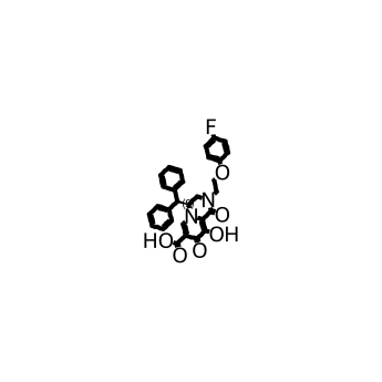 O=C(O)c1cn2c(c(O)c1=O)C(=O)N(CCOc1ccc(F)cc1)C[C@@H]2C(c1ccccc1)c1ccccc1